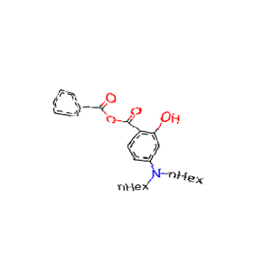 CCCCCCN(CCCCCC)c1ccc(C(=O)OC(=O)c2ccccc2)c(O)c1